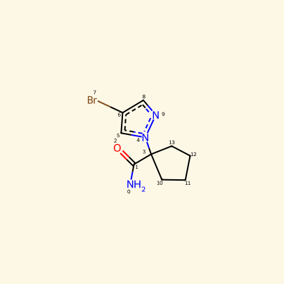 NC(=O)C1(n2cc(Br)cn2)CCCC1